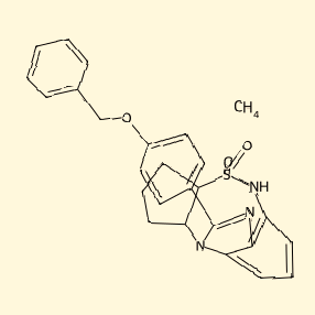 C.O=S1(=O)Nc2cccc3c2nc(-c2ccc(OCc4ccccc4)cc2)n3C2CCCC21